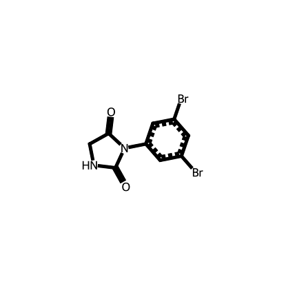 O=C1CNC(=O)N1c1cc(Br)cc(Br)c1